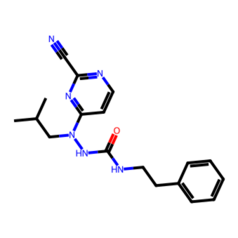 CC(C)CN(NC(=O)NCCc1ccccc1)c1ccnc(C#N)n1